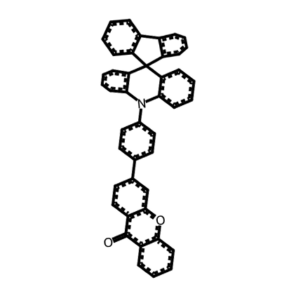 O=c1c2ccccc2oc2cc(-c3ccc(N4c5ccccc5C5(c6ccccc6-c6ccccc65)c5ccccc54)cc3)ccc12